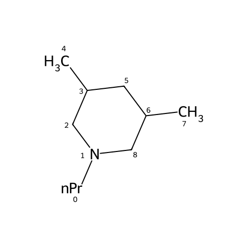 CCCN1CC(C)CC(C)C1